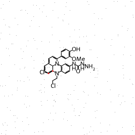 COc1cc(C2=CC=C3C=CC=CC3N2c2cc(NC(=O)NN)ccc2N(CCCl)CCCl)ccc1O